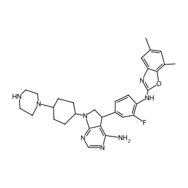 Cc1cc(C)c2oc(Nc3ccc(C4CN(C5CCC(N6CCNCC6)CC5)c5ncnc(N)c54)cc3F)nc2c1